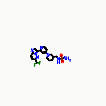 NS(=O)(=O)NCC1CCCN(c2ccnc(-c3cnc4ccc(C(F)F)nn34)c2)C1